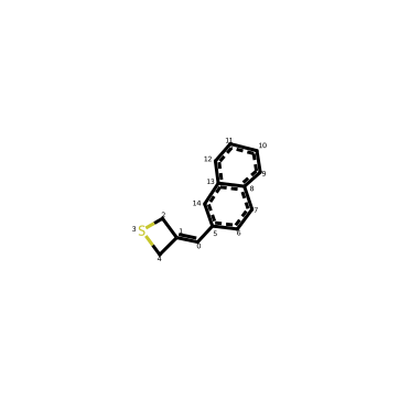 C(=C1CSC1)c1ccc2ccccc2c1